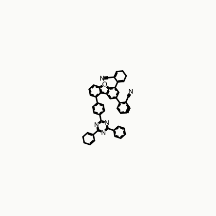 N#CC1=CCCC=C1c1cc(-c2ccc#cc2C#N)cc2c1oc1cccc(-c3ccc(-c4nc(C5=CCCC=C5)nc(-c5ccccc5)n4)cc3)c12